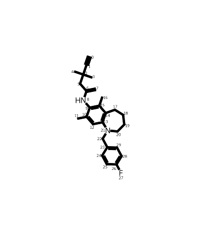 C#CC(C)(C)CC(=C)Nc1c(C)cc2c(c1C)CCCCN2Cc1ccc(F)cc1